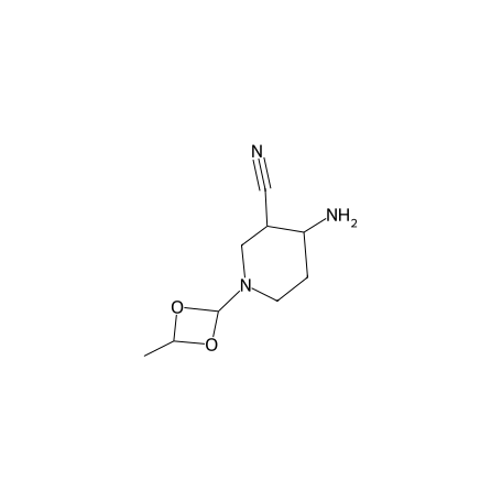 CC1OC(N2CCC(N)C(C#N)C2)O1